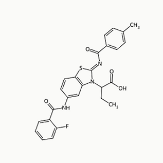 CCC(C(=O)O)n1c(=NC(=O)c2ccc(C)cc2)sc2ccc(NC(=O)c3ccccc3F)cc21